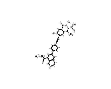 CN(C(=O)c1ccc(C#Cc2ccc(-c3cc(C(=O)NN)c4cnccc4n3)cc2)c(F)c1)C(CN)C(=O)O